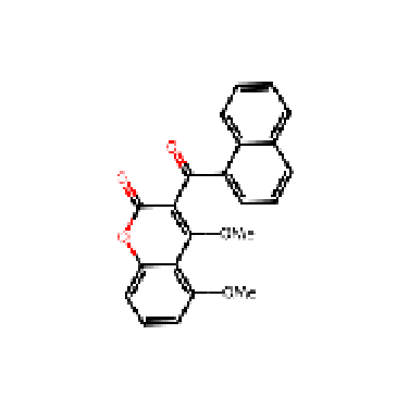 COc1cccc2oc(=O)c(C(=O)c3cccc4ccccc34)c(OC)c12